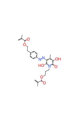 C=C(C)C(=O)OCCCn1c(O)c(/N=N/c2ccc(CCOC(=O)C(=C)C)cc2)c(C)c(O)c1=O